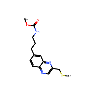 CC(=O)SCc1cnc2ccc(CCCNC(=O)OC(C)(C)C)cc2n1